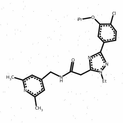 CCn1nc(-c2ccc(Cl)c(OC(C)C)c2)nc1CC(=O)NCc1cc(C)nc(C)c1